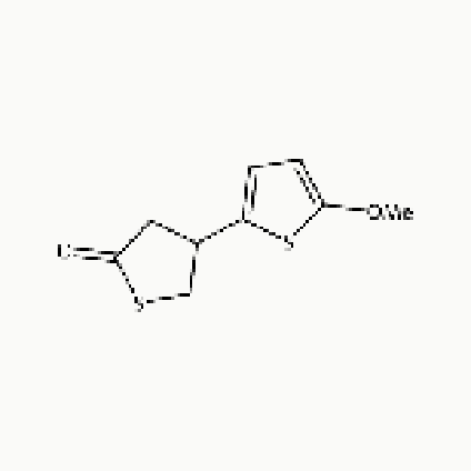 COc1ccc(C2CSC(=O)C2)s1